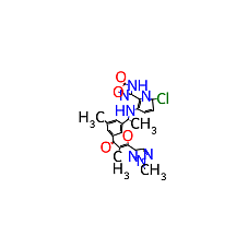 Cc1cc([C@@H](C)Nc2ccc(Cl)nc2-c2noc(=O)[nH]2)c2oc(-c3cnn(C)n3)c(C)c(=O)c2c1